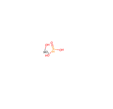 O=[N+]([O-])O.O=[PH](O)O